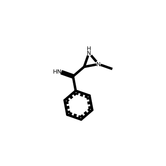 CN1NC1C(=N)c1ccccc1